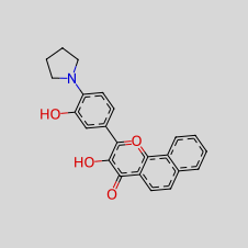 O=c1c(O)c(-c2ccc(N3CCCC3)c(O)c2)oc2c1ccc1ccccc12